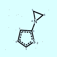 c1csc(N2CC2)c1